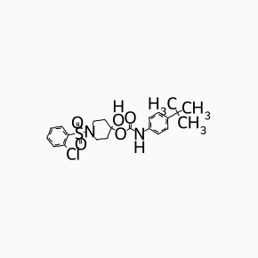 CC(C)(C)c1ccc(NC(=O)OC2(O)CCN(S(=O)(=O)c3ccccc3Cl)CC2)cc1